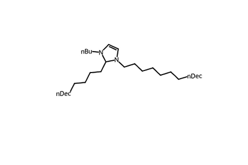 CCCCCCCCCCCCCCCCCN1C=CN(CCCC)C1CCCCCCCCCCCCCC